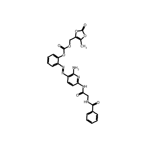 Cc1oc(=O)oc1COC(=O)Oc1ccccc1/N=N/c1ccc(NC(=O)CNC(=O)c2ccccc2)nc1N